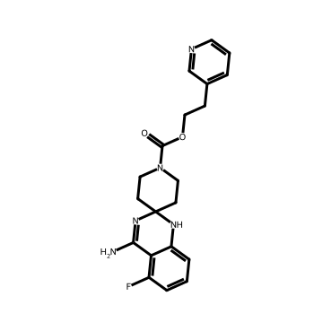 NC1=NC2(CCN(C(=O)OCCc3cccnc3)CC2)Nc2cccc(F)c21